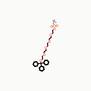 CS(=O)(=O)OCCOCCOCCOCCOCCOC(c1ccccc1)(c1ccccc1)c1ccccc1